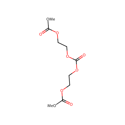 COC(=O)OCCOC(=O)OCCOC(=O)OC